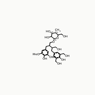 COc1cc(CC(CO[C@@H]2OC(CO)[C@@H](C)[C@H](O)C2O)C(CO)Cc2cc(CO)c(O)c(CO)c2)cc(OC)c1O